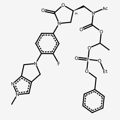 CCOP(=O)(OCc1ccccc1)OC(C)OC(=O)N(C[C@H]1CN(c2ccc(N3Cc4cn(C)nc4C3)c(F)c2)C(=O)O1)C(C)=O